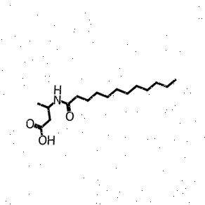 CCCCCCCCCCCC(=O)NC(C)CC(=O)O